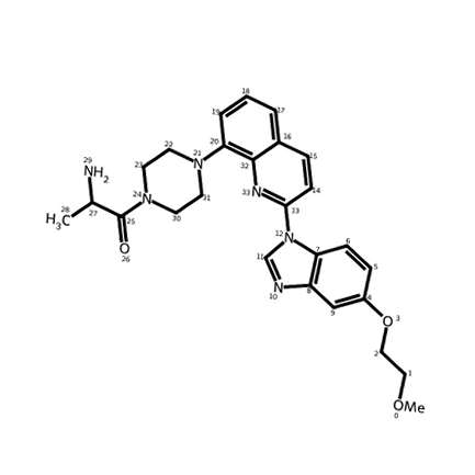 COCCOc1ccc2c(c1)ncn2-c1ccc2cccc(N3CCN(C(=O)C(C)N)CC3)c2n1